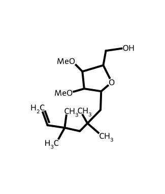 C=CC(C)(C)CC(C)(C)CC1OC(CO)C(OC)C1OC